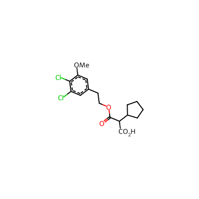 COc1cc(CCOC(=O)C(C(=O)O)C2CCCC2)cc(Cl)c1Cl